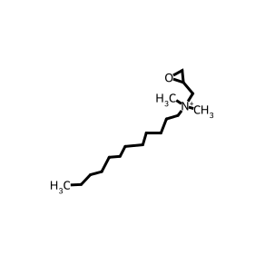 CCCCCCCCCCCC[N+](C)(C)CC1CO1